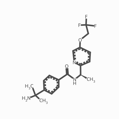 C[C@@H](NC(=O)c1ccc(C(C)(C)N)cc1)c1ccc(OCC(F)(F)F)cn1